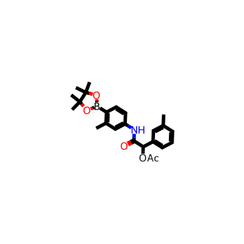 CC(=O)OC(C(=O)Nc1ccc(B2OC(C)(C)C(C)(C)O2)c(C)c1)c1cccc(C)c1